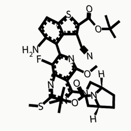 COc1nc(-c2c(N)ccc3sc(C(=O)OC(C)(C)C)c(C#N)c23)c(F)c2nc(SC)nc(N3C[C@H]4CC[C@@H](C3)N4C(=O)OC(C)(C)C)c12